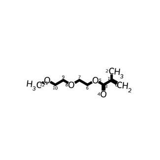 C=C(C)C(=O)OCCOCCOC